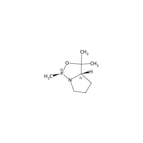 C[P@@]1OC(C)(C)[C@@H]2CCCN21